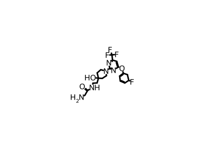 NCC(=O)NCCC1(O)CCN(c2nc(OC3=CC=CC(F)C3)cc(C(F)(F)F)n2)CC1